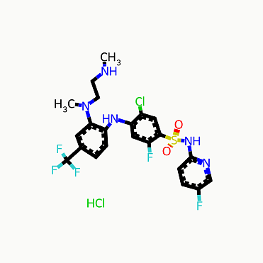 CNCCN(C)c1cc(C(F)(F)F)ccc1Nc1cc(F)c(S(=O)(=O)Nc2ccc(F)cn2)cc1Cl.Cl